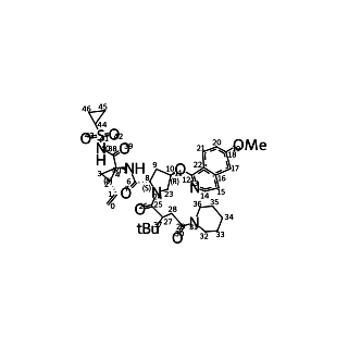 C=C[C@@H]1C[C@]1(NC(=O)[C@@H]1C[C@@H](Oc2nccc3cc(OC)ccc23)CN1C(=O)C(CC(=O)N1CCCCC1)C(C)(C)C)C(=O)NS(=O)(=O)C1CC1